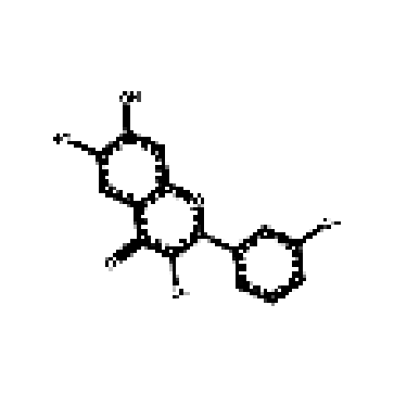 O=c1c(O)c(-c2cccc(O)c2)oc2cc(O)c(O)cc12